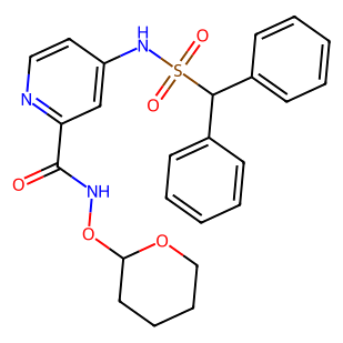 O=C(NOC1CCCCO1)c1cc(NS(=O)(=O)C(c2ccccc2)c2ccccc2)ccn1